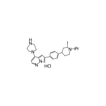 CC(C)N1CCC(c2ccc(-c3cc4c(N5CCNCC5)ccnn4c3)cc2)CC1I.Cl